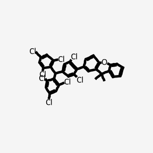 CC1(C)c2ccccc2Oc2ccc(-c3c(Cl)cc(C(c4c(Cl)cc(Cl)cc4Cl)c4c(Cl)cc(Cl)cc4Cl)cc3Cl)cc21